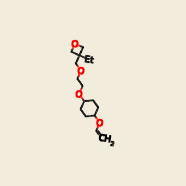 C=COC1CCC(OCCOCC2(CC)COC2)CC1